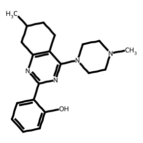 CC1CCc2c(nc(-c3ccccc3O)nc2N2CCN(C)CC2)C1